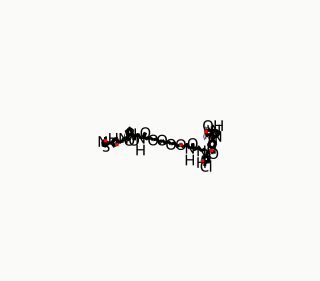 Cc1ncsc1-c1ccc(CNC(=O)[C@@H]2CCCN2C(=O)CNC(=O)CCOCCOCCOCCOCCNC(=O)CCNC[C@@H](C(=O)N2CCN(c3ncnc4c3[C@H](C)C[C@H]4O)CC2)c2ccc(Cl)cc2)cc1